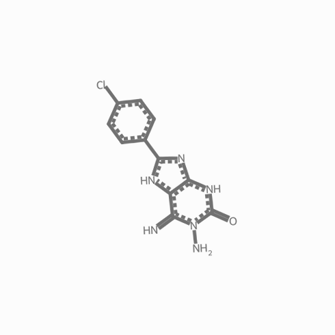 N=c1c2[nH]c(-c3ccc(Cl)cc3)nc2[nH]c(=O)n1N